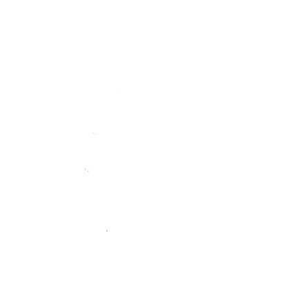 CCCCCc1cc(CCN2CCN(c3cccc(C(F)(F)F)c3)CC2)ccc1C